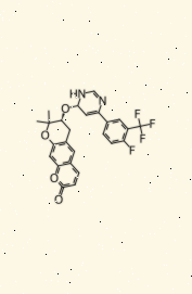 CC1(C)Oc2cc3oc(=O)ccc3cc2C[C@@H]1OC1C=C(c2ccc(F)c(C(F)(F)F)c2)N=CN1